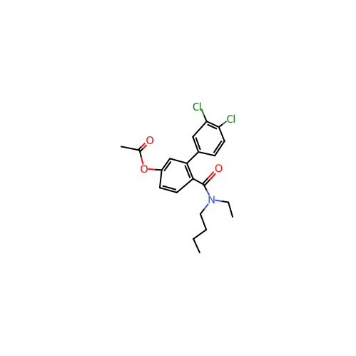 CCCCN(CC)C(=O)c1ccc(OC(C)=O)cc1-c1ccc(Cl)c(Cl)c1